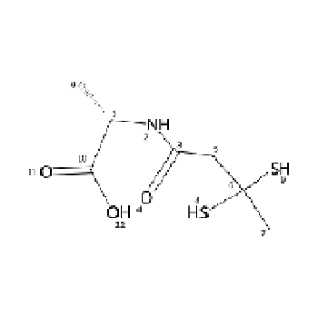 C[C@H](NC(=O)CC(C)(S)S)C(=O)O